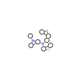 c1ccc(-n2c3ccccc3c3cc(N(c4ccc5ccc6oc7ccccc7c6c5c4)c4cccc5sc6ccccc6c45)ccc32)cc1